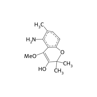 COC1=C(O)C(C)(C)Oc2ccc(C)c(N)c21